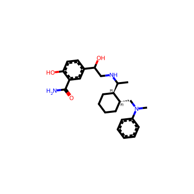 CC(NCC(O)c1ccc(O)c(C(N)=O)c1)[C@@H]1CCCC[C@H]1CN(C)c1ccccc1